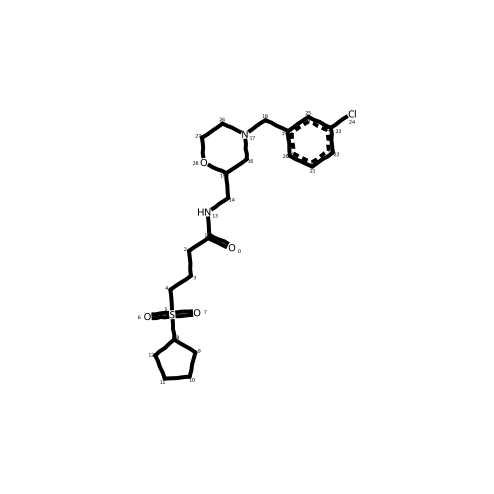 O=C(CCCS(=O)(=O)C1CCCC1)NCC1CN(Cc2cccc(Cl)c2)CCO1